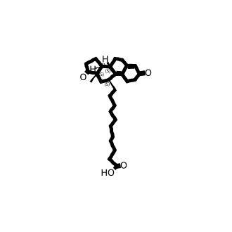 C[C@]12C[C@H](CCCCCCCCCCC(=O)O)C3=C4CCC(=O)C=C4CC[C@H]3[C@@H]1CCC2=O